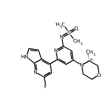 C[C@@H]1COCCN1c1cc(N=S(C)(C)=O)nc(-c2cc(F)nc3[nH]ccc23)c1